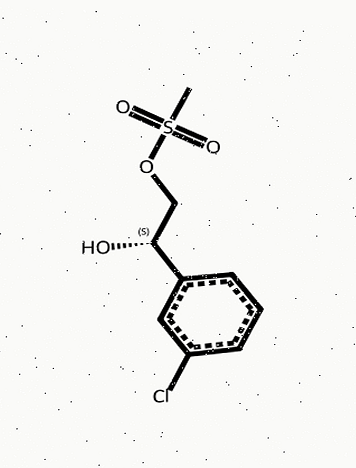 CS(=O)(=O)OC[C@@H](O)c1cccc(Cl)c1